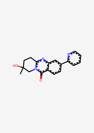 CC1(O)CCc2nc3cc(-c4ccccn4)ccc3c(=O)n2C1